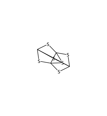 S1C23SC45SC4(S2)SC13S5